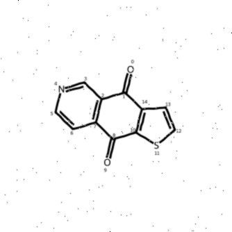 O=C1c2cnccc2C(=O)c2sccc21